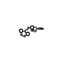 COC(Cc1ccc(OCC=C2c3ccccc3OCOc3ccccc32)cc1)C(=O)O